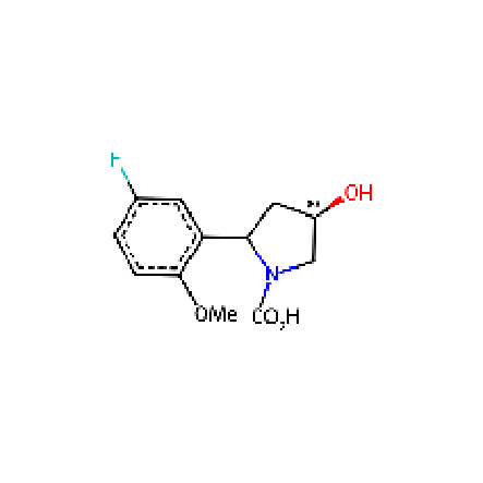 COc1ccc(F)cc1C1C[C@@H](O)CN1C(=O)O